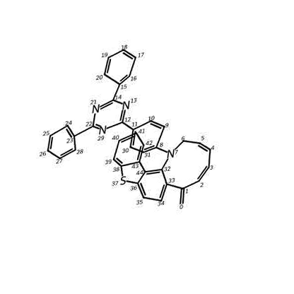 C=C1/C=C\C=C/CN(c2ccc(-c3nc(-c4ccccc4)nc(-c4ccccc4)n3)cc2)c2c1ccc1sc3ccccc3c21